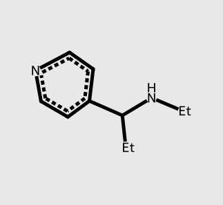 CCNC(CC)c1ccncc1